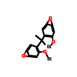 CCOc1cc2c(cc1C(C)(C)c1cc3c(cc1OCC)O3)O2